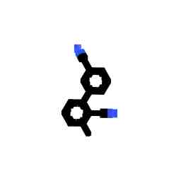 Cc1cccc(-c2cccc(C#N)c2)c1C#N